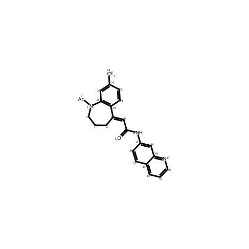 CC(=O)N1CCC/C(=C\C(=O)Nc2ccc3cccnc3c2)c2ccc(C(F)(F)F)cc21